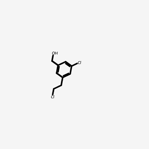 OCc1cc(Cl)cc(CCCl)c1